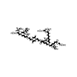 CCCCCCCCCCCOC(=O)CCCC(CN(CCCCC(=O)OCCN1CC(C)N(CCOC(=O)CCCN(CC(CCCCCCCCCC)O[Si](C)(C)C(C)(C)C)CC(CCCCCCCCCC)O[Si](C)(C)C(C)(C)C)CC1C)CC(CCCCCC(=O)OC(CCCCCCCC)CCCCCCCC)O[Si](C)(C)C(C)(C)C)O[Si](C)(C)C(C)(C)C